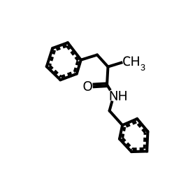 CC(Cc1ccccc1)C(=O)NCc1ccccc1